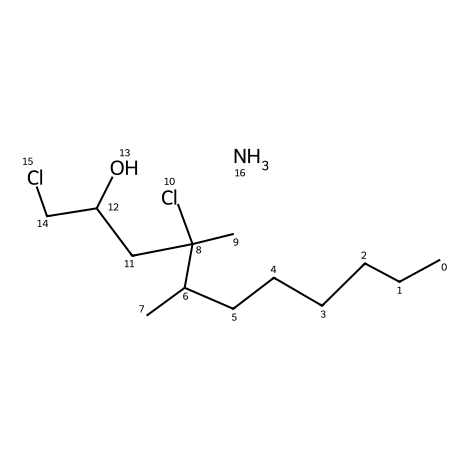 CCCCCCC(C)C(C)(Cl)CC(O)CCl.N